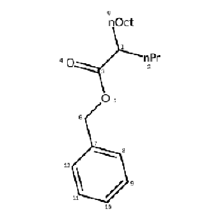 CCCCCCCCC(CCC)C(=O)OCc1ccccc1